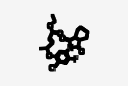 CCOC(=O)C=CC(C)Oc1cc(N2C(=O)C3CCCCC3C2=O)c(F)cc1Cl